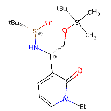 CCn1cccc([C@@H](CO[Si](C)(C)C(C)(C)C)N[S@@+]([O-])C(C)(C)C)c1=O